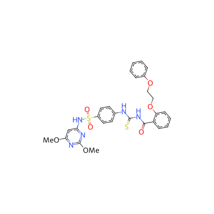 COc1cc(NS(=O)(=O)c2ccc(NC(=S)NC(=O)c3ccccc3OCCOc3ccccc3)cc2)nc(OC)n1